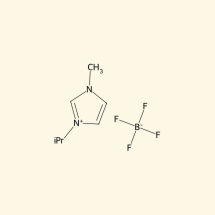 CC(C)[n+]1ccn(C)c1.F[B-](F)(F)F